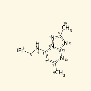 Cc1cc(NCC(C)C)n2nc(C)nc2n1